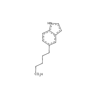 O=C(O)CCCCc1ccc2[nH]ccc2c1